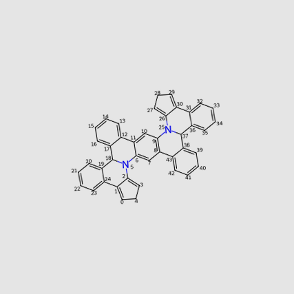 C1=C2C(=CC1)N1c3cc4c(cc3-c3ccccc3C1c1ccccc12)N1C2=CCC=C2c2ccccc2C1c1ccccc1-4